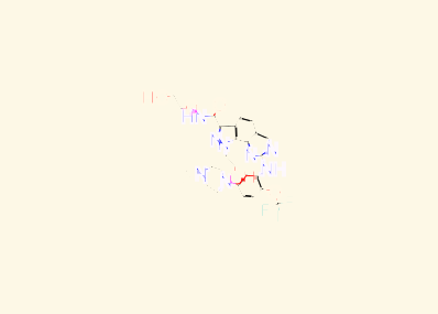 CN1CCN(c2ccc(OC(F)(F)F)c(Nc3ncc4ccc5c(C(=O)NOCCO)nn(CCO)c5c4n3)c2)CC1